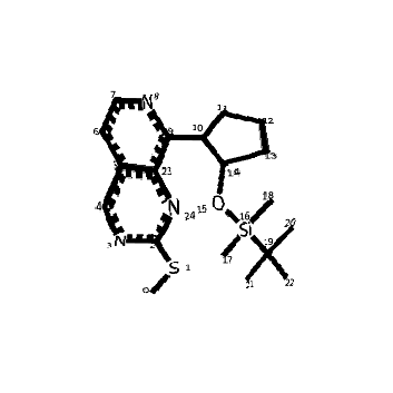 CSc1ncc2ccnc(C3CCCC3O[Si](C)(C)C(C)(C)C)c2n1